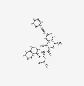 CCCN(C(=O)NC(CC(=O)O)Cc1cccc2ccccc12)C(=O)c1cccc(C#Cc2ccccc2)c1